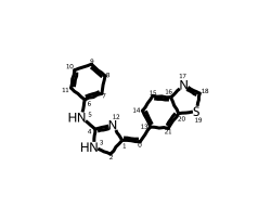 C(=C1\CNC(Nc2ccccc2)=N1)/c1ccc2ncsc2c1